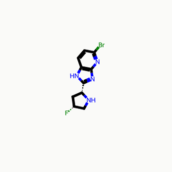 F[C@H]1CN[C@@H](c2nc3nc(Br)ccc3[nH]2)C1